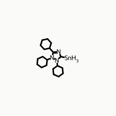 [SnH3][CH]1N=C(C2CCCCC2)N(C2CCCCC2)N1C1CCCCC1